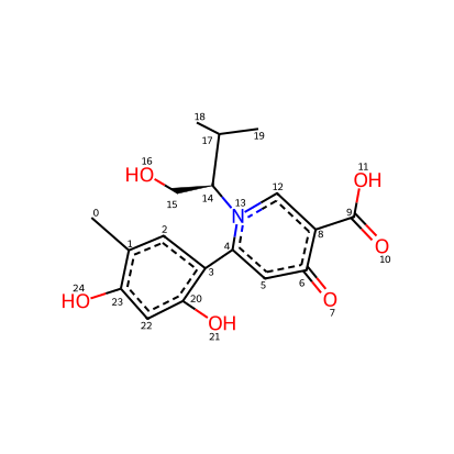 Cc1cc(-c2cc(=O)c(C(=O)O)cn2[C@@H](CO)C(C)C)c(O)cc1O